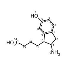 NC1Cc2ccc(O)cc2C1CCCC(=O)O